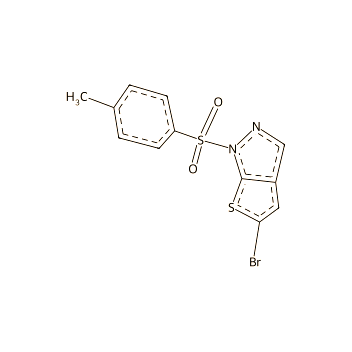 Cc1ccc(S(=O)(=O)n2ncc3cc(Br)sc32)cc1